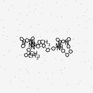 CC1(C)c2ccccc2-c2ccc(-c3nc(-c4ccc5c(c4)C(C)(C)c4ccc(-c6cccc(-c7ccc(-c8nc(-c9ccc(-c%10ccccc%10)cc9)nc(-n9c%10ccccc%10c%10cc%11c%12ccccc%12n(-c%12ccc(-c%13ccccc%13)cc%12)c%11cc%109)n8)cc7)c6)cc4-5)nc(-n4c5ccccc5c5cc6c7ccccc7n(-c7ccccc7)c6cc54)n3)cc21